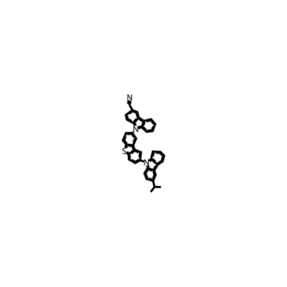 CC(C)c1ccc2c(c1)c1ccccc1n2-c1ccc2sc3ccc(-n4c5ccccc5c5cc(C#N)ccc54)cc3c2c1